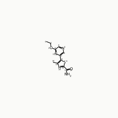 CCOc1cncc(-c2sc(C(N)=O)nc2C)n1